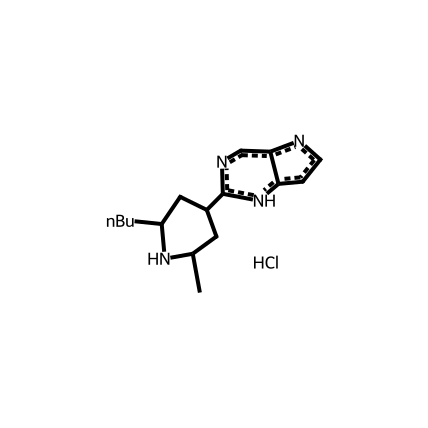 CCCCC1CC(c2ncc3nccc-3[nH]2)CC(C)N1.Cl